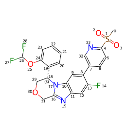 CS(=O)(=O)c1ccc(-c2cc3c(cc2F)nc2n3[C@@H](c3ccccc3OC(F)F)COC2)cn1